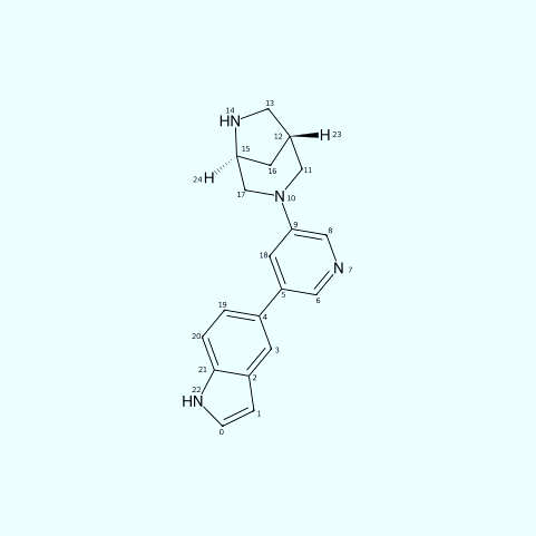 c1cc2cc(-c3cncc(N4C[C@H]5CN[C@@H](C5)C4)c3)ccc2[nH]1